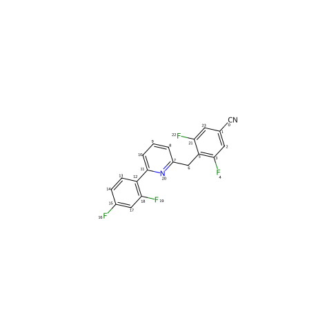 N#Cc1cc(F)c(Cc2cccc(-c3ccc(F)cc3F)n2)c(F)c1